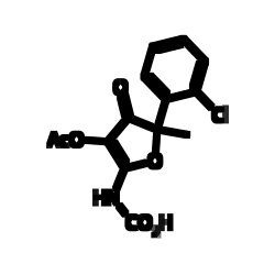 CC(=O)OC1=C(NC(=O)O)OC(C)(c2ccccc2Cl)C1=O